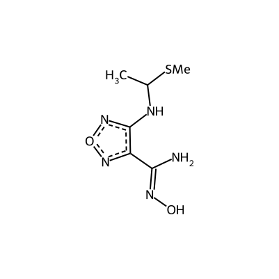 CSC(C)Nc1nonc1C(N)=NO